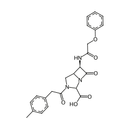 Cc1ccc(CC(=O)N2CC3[C@@H](NC(=O)COc4ccccc4)C(=O)N3C2C(=O)O)cc1